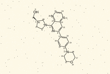 OC[C@@H]1CCN(c2nc(-c3ccc(N4CCOCC4)cc3)cc3nccnc23)C1